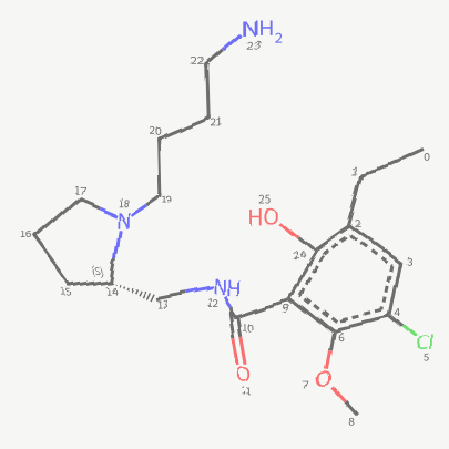 CCc1cc(Cl)c(OC)c(C(=O)NC[C@@H]2CCCN2CCCCN)c1O